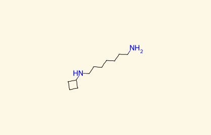 NCCCCCCCNC1CCC1